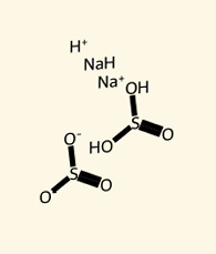 O=S(O)O.O=S([O-])[O-].[H+].[Na+].[NaH]